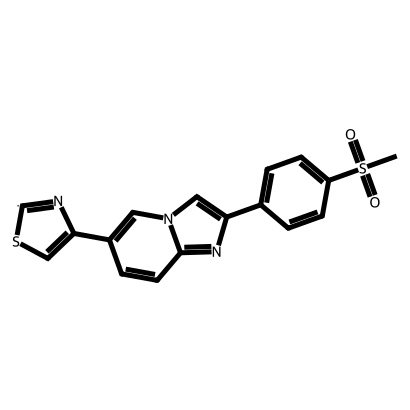 CS(=O)(=O)c1ccc(-c2cn3cc(-c4cs[c]n4)ccc3n2)cc1